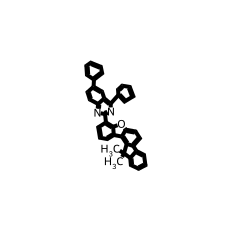 CC1(C)c2ccccc2-c2ccc3oc4c(-c5nc(-c6ccccc6)c6cc(-c7ccccc7)ccc6n5)cccc4c3c21